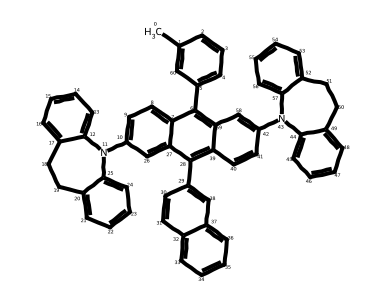 Cc1cccc(-c2c3ccc(N4c5ccccc5CCc5ccccc54)cc3c(-c3ccc4ccccc4c3)c3ccc(N4c5ccccc5CCc5ccccc54)cc23)c1